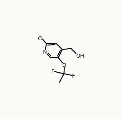 CC(F)(F)Oc1cnc(Cl)cc1CO